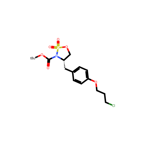 CC(C)(C)OC(=O)N1[C@@H](Cc2ccc(OCCCCl)cc2)COS1(=O)=O